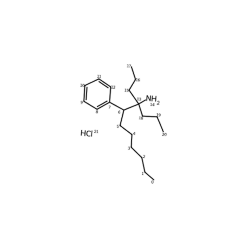 CCCCCCC(c1ccccc1)C(N)(CCC)CCC.Cl